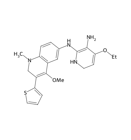 CCOC1=CCNC(Nc2ccc3c(c2)C(OC)=C(c2cccs2)CN3C)=C1N